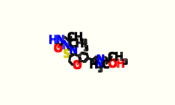 CC(C)(O)Cn1cc(-c2ccc3c(c2)OCCc2sc(N4C(=O)NCC4(C)C)nc2-3)cn1